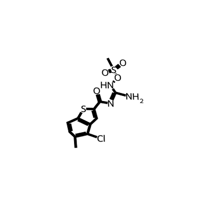 Cc1ccc2sc(C(=O)N=C(N)NOS(C)(=O)=O)cc2c1Cl